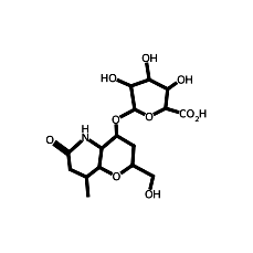 CC1CC(=O)NC2C(OC3OC(C(=O)O)C(O)C(O)C3O)CC(CO)OC12